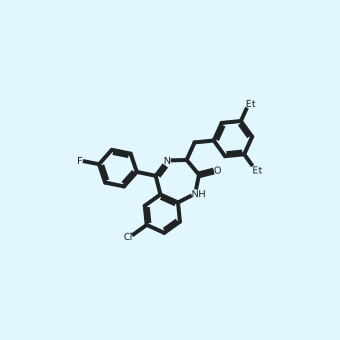 CCc1cc(CC)cc(CC2N=C(c3ccc(F)cc3)c3cc(Cl)ccc3NC2=O)c1